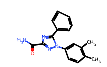 Cc1ccc(-n2nc(C(N)=O)nc2-c2ccccc2)cc1C